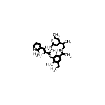 C=C(NCC(C)C(CCC)CC(N)F)c1cc(CC)c(C)c(/N=C(C)/C(C)=C/c2cccnc2C)c1